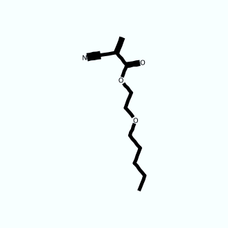 C=C(C#N)C(=O)OCCOCCCCC